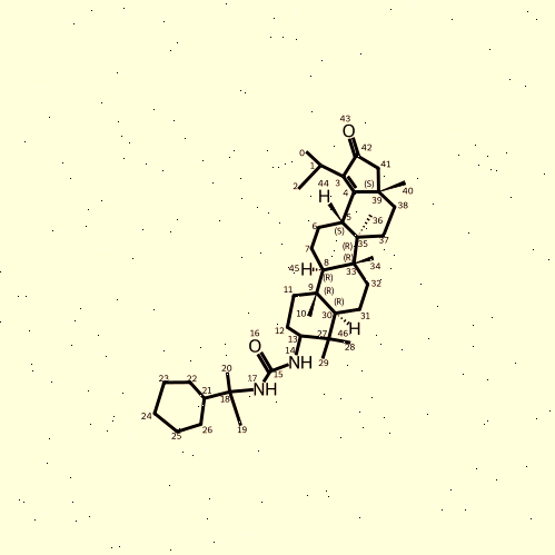 CC(C)C1=C2[C@H]3CC[C@@H]4[C@@]5(C)CCC(NC(=O)NC(C)(C)C6CCCCC6)C(C)(C)[C@@H]5CC[C@@]4(C)[C@]3(C)CC[C@@]2(C)CC1=O